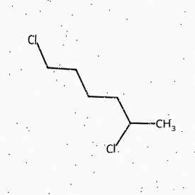 CC(Cl)CCCCCl